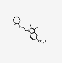 Cc1c(C)n(CCOC2CCCCO2)c2ccc(C(=O)O)cc12